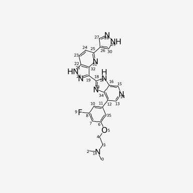 CN(C)CCOc1cc(F)cc(-c2cncc3[nH]c(-c4n[nH]c5ccc(-c6cn[nH]c6)nc45)nc23)c1